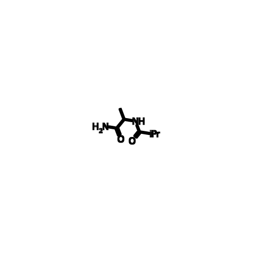 CC(C)C(=O)NC(C)C(N)=O